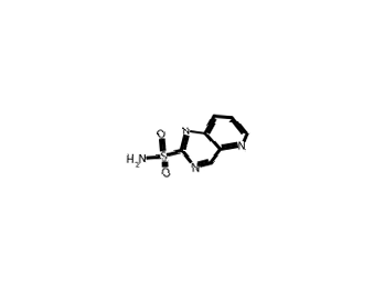 NS(=O)(=O)c1ncc2ncccc2n1